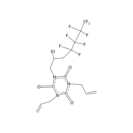 C=CCn1c(=O)n(CC=C)c(=O)n(CC(CC)CC(F)(F)C(F)(F)C(F)(F)C(F)(F)F)c1=O